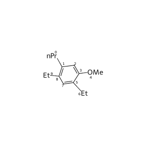 CCCc1cc(OC)c(CC)cc1CC